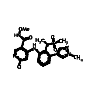 CONC(=O)c1cnc(Cl)cc1Nc1cccc(-c2cnn(C)c2)c1N(C)S(C)(=O)=O